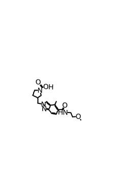 COCCNC(=O)c1ccc2nn(CC3CCN(C(=O)O)C3)cc2c1C